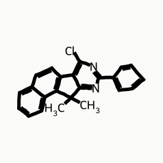 CC1(C)c2nc(-c3ccccc3)nc(Cl)c2-c2ccc3ccccc3c21